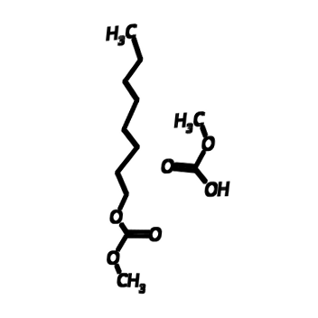 CCCCCCCCOC(=O)OC.COC(=O)O